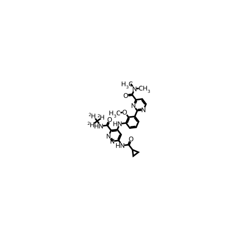 [2H]C([2H])([2H])NC(=O)c1nnc(NC(=O)C2CC2)cc1Nc1cccc(-c2nccc(C(=O)N(C)C)n2)c1OC